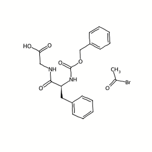 CC(=O)Br.O=C(O)CNC(=O)[C@H](Cc1ccccc1)NC(=O)OCc1ccccc1